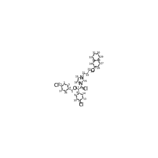 Clc1ccc(COC(c2ccc(Cl)cc2)C(Cl)N2C=CN(CCCOc3ccc4ccccc4c3)C2)cc1